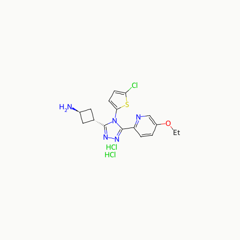 CCOc1ccc(-c2nnc([C@H]3C[C@H](N)C3)n2-c2ccc(Cl)s2)nc1.Cl.Cl